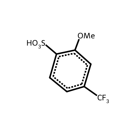 COc1cc(C(F)(F)F)ccc1S(=O)(=O)O